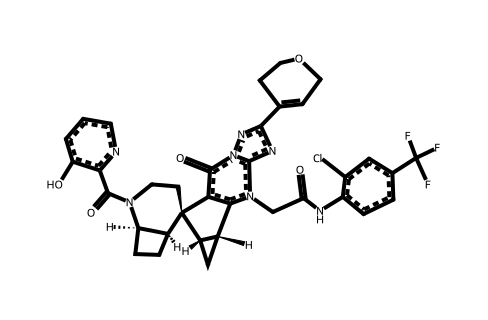 O=C(Cn1c2c(c(=O)n3nc(C4=CCOCC4)nc13)[C@]1(CCN(C(=O)c3ncccc3O)[C@@H]3CC[C@@H]31)[C@H]1C[C@@H]21)Nc1ccc(C(F)(F)F)cc1Cl